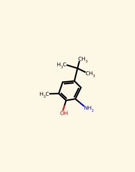 Cc1cc(C(C)(C)C)cc(N)c1O